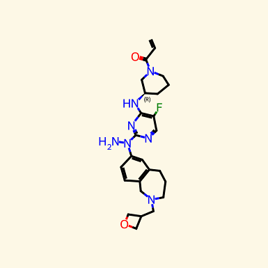 C=CC(=O)N1CCC[C@@H](Nc2nc(N(N)c3ccc4c(c3)CCCN(CC3COC3)C4)ncc2F)C1